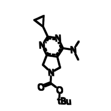 CN(C)c1nc(C2CC2)nc2c1CN(C(=O)OC(C)(C)C)C2